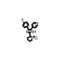 O=CN1CCCCC1c1nc(-c2ccc(F)cc2)c(-c2ccncc2)[nH]1